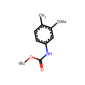 COc1cc(NC(=O)OC(C)(C)C)ccc1C